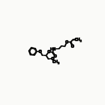 C=CC(=O)OCCCNC(=O)OC(COC)COc1ccccc1